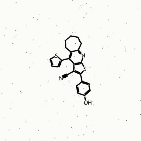 N#Cc1c(-c2ccc(O)cc2)sc2nc3c(c(-c4cccs4)c12)CCCCC3